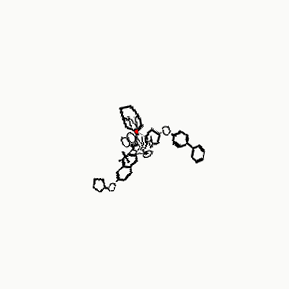 CC(C)(C)OC(=O)NC1CC2CCC(C1)N2C(=O)[C@@H]1C[C@H](Oc2ccc(-c3ccccc3)cc2)CN1S(=O)(=O)c1ccc2cc(OC3CCCC3)ccc2c1